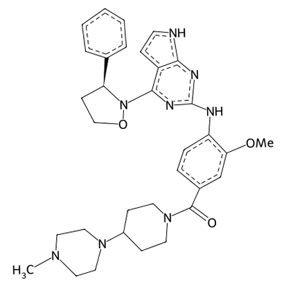 COc1cc(C(=O)N2CCC(N3CCN(C)CC3)CC2)ccc1Nc1nc(N2OCC[C@H]2c2ccccc2)c2cc[nH]c2n1